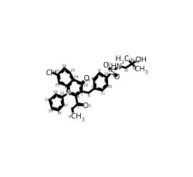 CCC(=O)c1c(Cc2ccc(S(=O)(=O)NCC(C)(C)O)cc2)c(=O)c2ccc(Cl)cc2n1-c1ccccc1